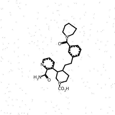 NC(=O)c1ncccc1C1CN(C(=O)O)CCC1CCc1cccc(C(=O)N2CCCCC2)c1